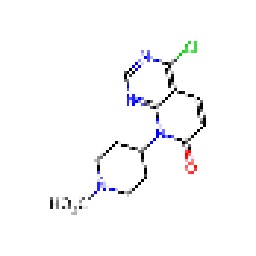 O=C(O)N1CCC(n2c(=O)ccc3c(Cl)ncnc32)CC1